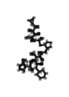 CCC[C@H](NC(=O)C[C@H]1CCC[C@H]1CNC(=O)[C@@H](NC(=O)[C@@H](NC(=O)c1nccn1C)C1CCCCC1)C(C)(C)C)C(=O)C(=O)NC1CC1